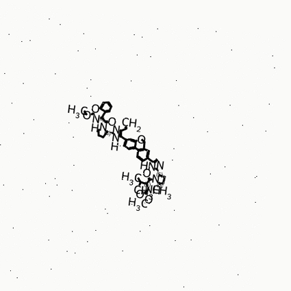 C=Cc1nc([C@@H]2CCCN2C(=O)[C@H](NC(=O)OC)c2ccccc2)[nH]c1-c1ccc2c(c1)OCc1cc(-c3cnc([C@@H]4CC[C@H](C)N4C(=O)[C@@H](NC(=O)OC)C(C)C)[nH]3)ccc1-2